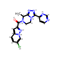 CC1c2nnc(-c3ccncn3)n2CCN1C(=O)c1cc2ccc(Br)cn2n1